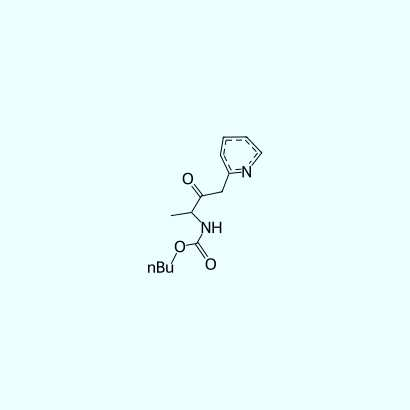 CCCCOC(=O)NC(C)C(=O)Cc1ccccn1